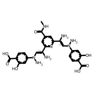 CNC(=O)c1cc(/C(N)=C/N(N)c2ccc(C(=O)O)c(O)c2)nc(/C(N)=C/N(N)c2ccc(C(=O)O)c(O)c2)c1